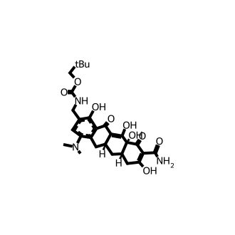 CN(C)c1cc(CNC(=O)OCC(C)(C)C)c(O)c2c1C[C@H]1C[C@H]3CC(O)=C(C(N)=O)C(=O)[C@@]3(O)C(O)=C1C2=O